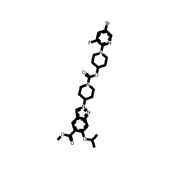 COC(=O)c1cc2cn(C3CCN(C(=O)OC4CCN(c5ncc(Br)cc5F)CC4)CC3)nc2cc1OC(C)C